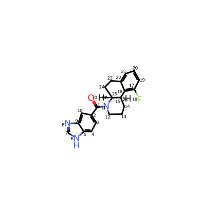 O=C(c1ccc2[nH]cnc2c1)N1CCC[C@@H]2c3c(F)cccc3CC[C@H]21